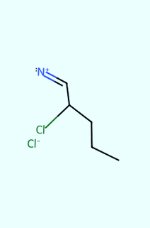 CCCC(Cl)C=[N+].[Cl-]